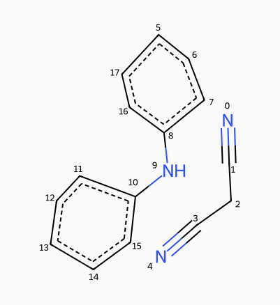 N#CCC#N.c1ccc(Nc2ccccc2)cc1